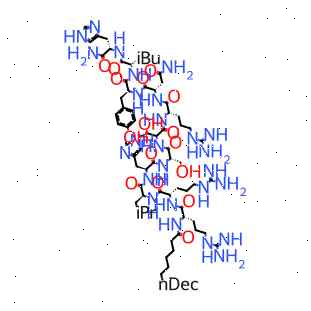 CCCCCCCCCCCCCCCC(=O)N[C@@H](CCCNC(=N)N)C(=O)N[C@@H](CCCNC(=N)N)C(=O)N[C@@H](CC(C)C)C(=O)N[C@@H](Cc1c[nH]cn1)C(=O)N[C@@H](CO)C(=O)N[C@H](C(=O)N[C@@H](CCCNC(=N)N)C(=O)N[C@@H](CC(N)=O)C(=O)N[C@@H](Cc1ccc(O)cc1)C(=O)N[C@H](C(=O)N[C@@H](Cc1c[nH]cn1)C(N)=O)[C@@H](C)CC)[C@@H](C)O